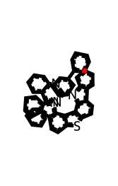 c1ccc(-c2ccc(-n3c4ccccc4c4ccc5sc6ccc7c8ccccc8n(-c8nc(-c9ccccc9)c9ccccc9n8)c7c6c5c43)cc2)cc1